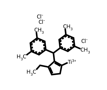 CCC1=CC[C]([Ti+3])=C1C(c1cc(C)cc(C)c1)c1cc(C)cc(C)c1.[Cl-].[Cl-].[Cl-]